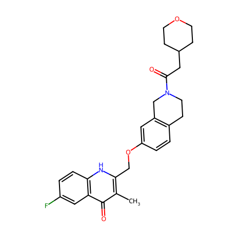 Cc1c(COc2ccc3c(c2)CN(C(=O)CC2CCOCC2)CC3)[nH]c2ccc(F)cc2c1=O